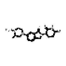 CN1CCN(c2ccc3c(c2)C(=O)N(C2CCC(=O)NC2=O)C3)CC1I